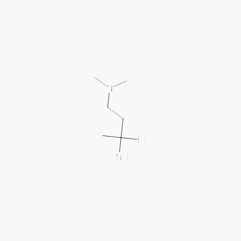 CCC(C)(N)CCN(C)C